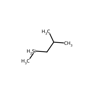 C[SiH2]CC(C)C